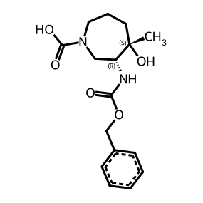 C[C@]1(O)CCCN(C(=O)O)C[C@H]1NC(=O)OCc1ccccc1